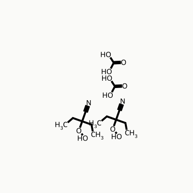 CCC(C#N)(CC)OO.CCC(C#N)(CC)OO.O=C(O)O.O=C(O)O